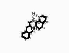 CN(CC1Cc2ccccc2CN1)[C@H]1CCCc2cccnc21